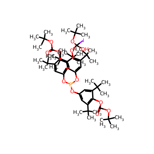 CC(C)(C)OC(=O)Oc1c(C(C)(C)C)cc(OP(Oc2cc(C(C)(C)C)c(OC(=O)OC(C)(C)C)c(C(C)(C)C)c2)Oc2cc(C(C)(C)C)c(OC(O)(I)OC(C)(C)C)c(C(C)(C)C)c2)cc1C(C)(C)C